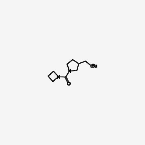 CC(C)(C)CC1CCN(C(=O)N2CCC2)C1